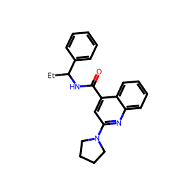 CCC(NC(=O)c1cc(N2CCCC2)nc2ccccc12)c1ccccc1